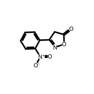 O=C1CC(c2ccccc2[N+](=O)[O-])=NO1